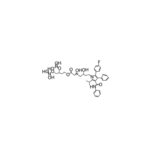 CC(C)c1c(C(=O)Nc2ccccc2)c(-c2ccccc2)c(-c2ccc(F)cc2)n1CCC(O)C[C@@H](O)CC(=O)OCCC(CON(O)O)ON(O)O